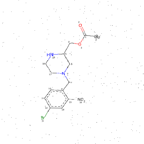 CC(C)(C)C(=O)OCC1CN(Cc2ccc(Br)cc2[N+](=O)[O-])CCN1